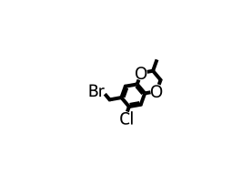 CC1COc2cc(Cl)c(CBr)cc2O1